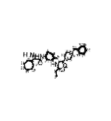 CCC(=O)N[C@H](Cc1ccc(NC(=O)[C@@H](N)C2CCCCCC2)cc1)C(=O)N1CCN(Cc2ccccc2)CC1